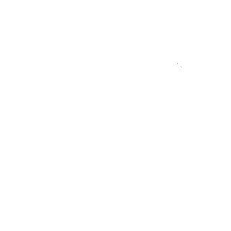 CCCCCCCCCCCCCCCC=CC1=NCCCO1